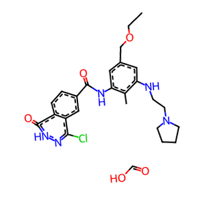 CCOCc1cc(NCCN2CCCC2)c(C)c(NC(=O)c2ccc3c(=O)[nH]nc(Cl)c3c2)c1.O=CO